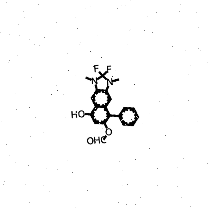 CN1c2cc3c(O)cc(OC=O)c(-c4ccccc4)c3cc2N(C)C1(F)F